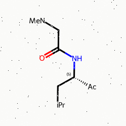 CNCC(=O)N[C@@H](CC(C)C)C(C)=O